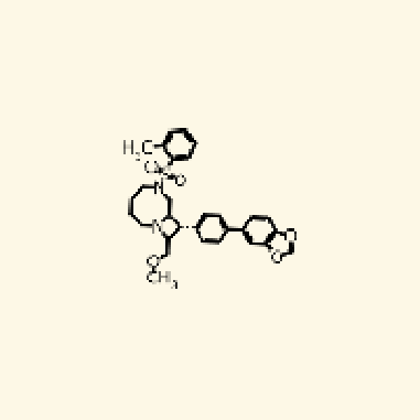 COCC1[C@@H](c2ccc(-c3ccc4c(c3)OCO4)cc2)C2CN(S(=O)(=O)c3ccccc3C)CCCCN12